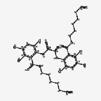 CCCC(C)CCCCCOC(=O)c1c(Cl)c(Cl)cc(Cl)c1OC(=O)C(=O)Oc1c(Cl)cc(Cl)c(Cl)c1C(=O)OCCCCCC(C)CCC